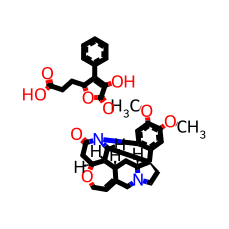 COc1cc2c(cc1OC)[C@@]13CCN4CC5=CCO[C@H]6CC(=O)N2[C@H]1[C@H]6[C@H]5C[C@H]43.O=C(O)CCC1OC(=O)C(O)=C1c1ccccc1